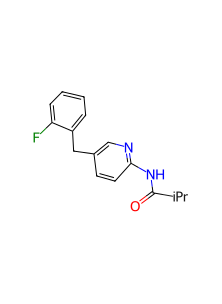 CC(C)C(=O)Nc1ccc(Cc2ccccc2F)cn1